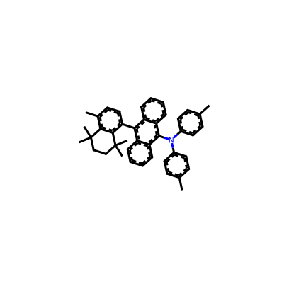 Cc1ccc(N(c2ccc(C)cc2)c2c3ccccc3c(-c3ccc(C)c4c3C(C)(C)CCC4(C)C)c3ccccc23)cc1